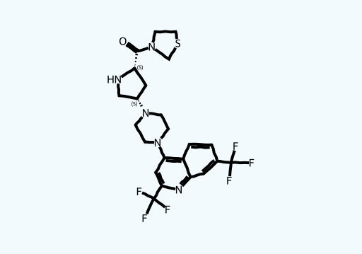 O=C([C@@H]1C[C@H](N2CCN(c3cc(C(F)(F)F)nc4cc(C(F)(F)F)ccc34)CC2)CN1)N1CCSC1